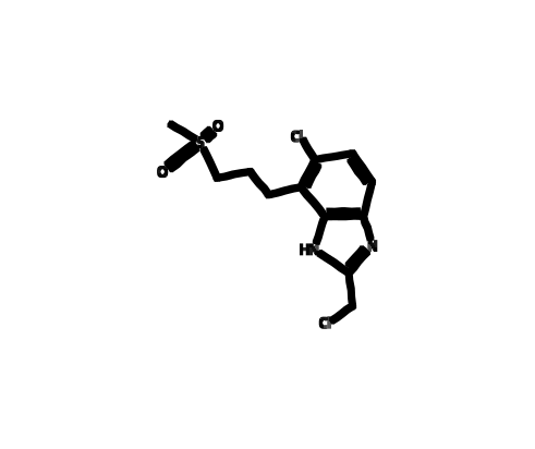 CS(=O)(=O)CCCc1c(Cl)ccc2nc(CCl)[nH]c12